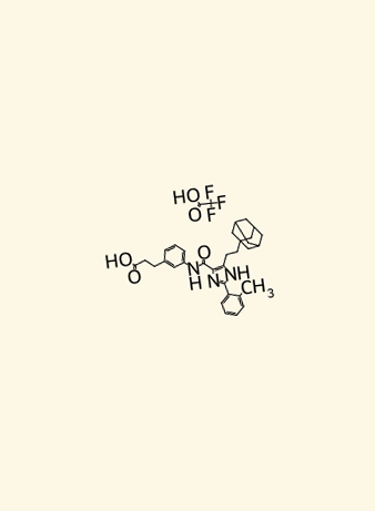 Cc1ccccc1-c1nc(C(=O)Nc2cccc(CCC(=O)O)c2)c(CCC23CC4CC(CC(C4)C2)C3)[nH]1.O=C(O)C(F)(F)F